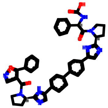 O=C(O)N[C@@H](C(=O)N1CCC[C@H]1c1ncc(-c2ccc(-c3ccc(-c4cnc([C@@H]5CCCN5C(=O)c5cnoc5-c5ccccc5)[nH]4)cc3)cc2)[nH]1)c1ccccc1